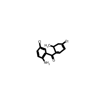 CCC1=CC=C(C(=O)c2cc(Cl)ccc2N)C(C)C1